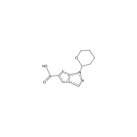 O=C(O)c1cc2cnn(C3CCCCO3)c2s1